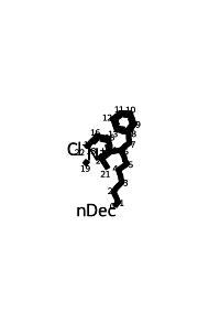 CCCCCCCCCCCCCCCC(Cc1ccccc1)c1ccc[n+](C)c1C.[Cl-]